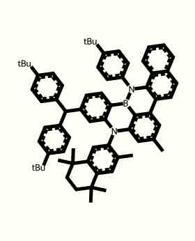 Cc1cc2c3c(c1)N(c1cc4c(cc1C)C(C)(C)CCC4(C)C)c1cc(C(c4ccc(C(C)(C)C)cc4)c4ccc(C(C)(C)C)cc4)ccc1B3N(c1ccc(C(C)(C)C)cc1)c1c-2ccc2ccccc12